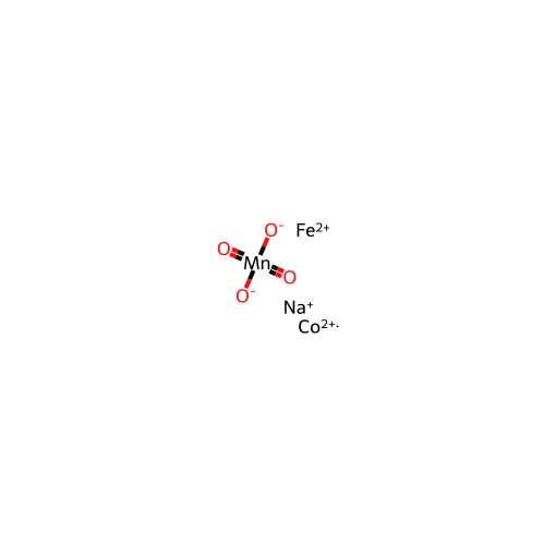 [Co+2].[Fe+2].[Na+].[O]=[Mn](=[O])([O-])[O-]